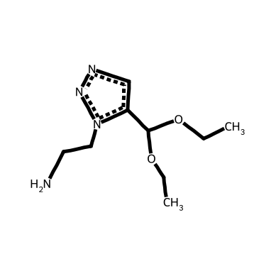 CCOC(OCC)c1cnnn1CCN